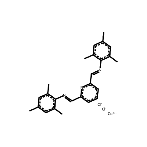 Cc1cc(C)c(N=Cc2cccc(C=Nc3c(C)cc(C)cc3C)n2)c(C)c1.[Cl-].[Cl-].[Co+2]